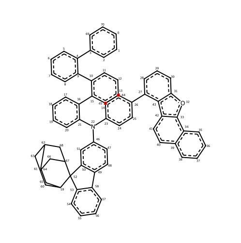 c1ccc(-c2ccccc2-c2ccccc2-c2ccccc2N(c2ccc(-c3cccc4oc5c6ccccc6ccc5c34)cc2)c2ccc3c(c2)C2(c4ccccc4-3)C3CCC4CC(C3)CC2C4)cc1